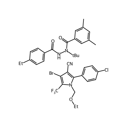 CCOCn1c(-c2ccc(Cl)cc2)c(C#N)c(Br)c1C(F)(F)F.CCc1ccc(C(=O)NN(C(=O)c2cc(C)cc(C)c2)C(C)(C)C)cc1